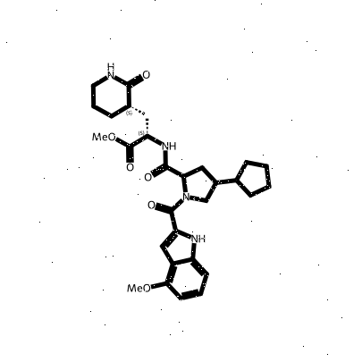 COC(=O)[C@H](C[C@@H]1CCCNC1=O)NC(=O)C1CC(C2CCCC2)CN1C(=O)c1cc2c(OC)cccc2[nH]1